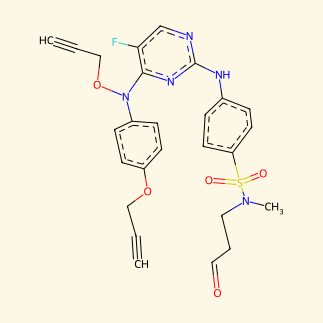 C#CCOc1ccc(N(OCC#C)c2nc(Nc3ccc(S(=O)(=O)N(C)CCC=O)cc3)ncc2F)cc1